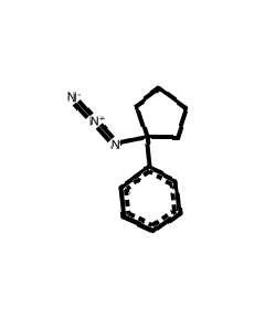 [N-]=[N+]=NC1(c2ccccc2)CCCC1